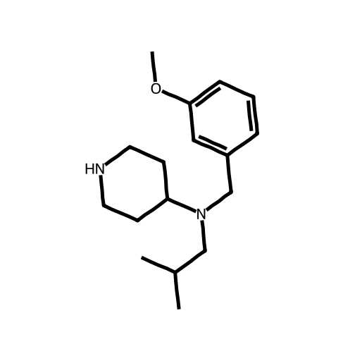 COc1cccc(CN(CC(C)C)C2CCNCC2)c1